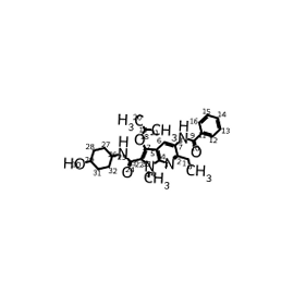 CCc1nc2c(cc1NC(=O)c1ccccc1)c(OC(C)C)c(C(=O)NC1CCC(O)CC1)n2C